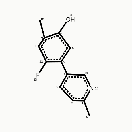 Cc1ccc(-c2cc(O)c(C)cc2F)cn1